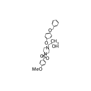 COc1ccc(S(=O)(=O)N2CCN(C(Oc3ccc(OCc4ccccc4)cc3)C(C)O)CC2)cc1